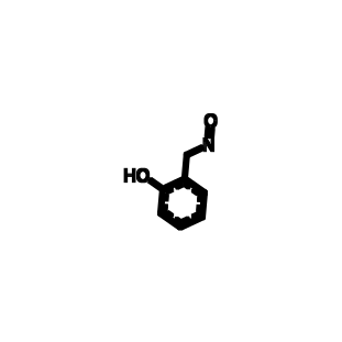 O=NCc1ccccc1O